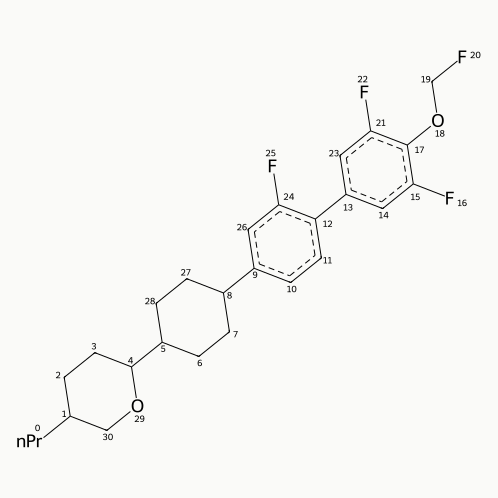 CCCC1CCC(C2CCC(c3ccc(-c4cc(F)c(OCF)c(F)c4)c(F)c3)CC2)OC1